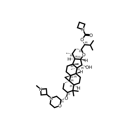 CC(C)[C@@H](OC(=O)N1CCC1)[C@H]1C[C@@H](C)[C@H]2[C@H](O1)[C@H](O)[C@@]1(C)[C@@H]3CC[C@H]4C(C)(C)[C@@H](O[C@H]5CN(C6CN(C)C6)CCO5)CC[C@@]45C[C@@]35CC[C@]21C